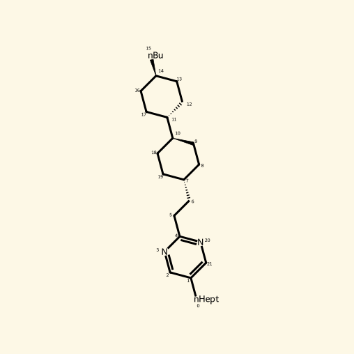 CCCCCCCc1cnc(CC[C@H]2CC[C@H]([C@H]3CC[C@H](CCCC)CC3)CC2)nc1